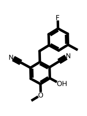 COc1cc(C#N)c(Cc2cc(C)cc(F)c2)c(C#N)c1O